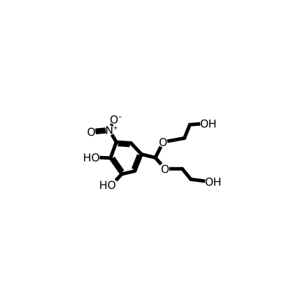 O=[N+]([O-])c1cc(C(OCCO)OCCO)cc(O)c1O